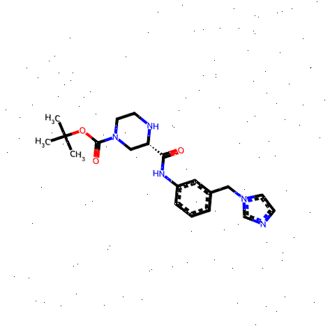 CC(C)(C)OC(=O)N1CCN[C@H](C(=O)Nc2cccc(Cn3ccnc3)c2)C1